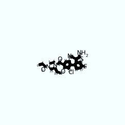 C=CC(=O)N1CCN2C(=O)c3cc(F)c(-c4ccc(F)c5sc(N)c(C#N)c45)c(Cl)c3OC/C=C\2C1